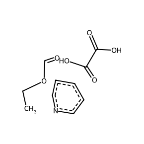 CCOC=O.O=C(O)C(=O)O.c1ccncc1